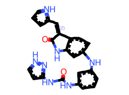 O=C(Nc1cccc(Nc2ccc3c(c2)NC(=O)/C3=C\c2ccc[nH]2)c1)Nc1cc[nH]n1